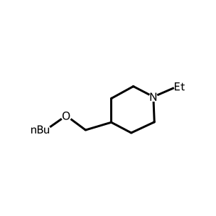 CCCCOCC1CCN(CC)CC1